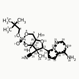 CC(C)(C)CO[P@]1(=O)OC[C@H]2O[C@@H](c3ccc4c(N)ncnn34)[C@](C)(C#N)[C@@H]2O1